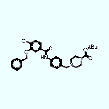 CC(C)(C)OC(=O)N1CCN(Cc2ccc(NC(=O)c3ccc(Cl)c(OCc4ccccc4)c3)cc2)CC1